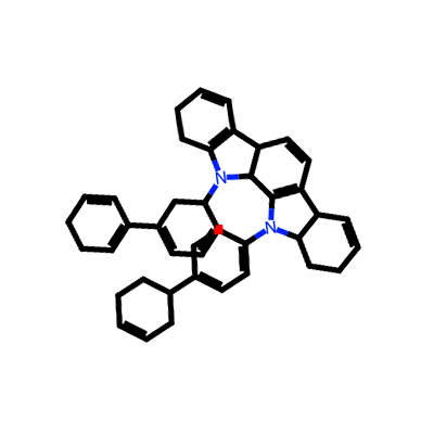 C1=CC(N2C3=C(C=CCC3)C3C=CC4=C(C32)N(C2=CC=C(C3CC=CCC3)CC2)C2CCC=CC42)CC(C2=CCCC=C2)=C1